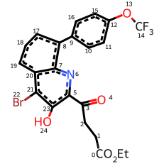 CCOC(=O)CCC(=O)c1nc2c(-c3ccc(OC(F)(F)F)cc3)cccc2c(Br)c1O